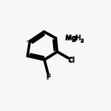 Fc1c[c]ccc1Cl.[MgH2]